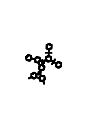 Cc1ccc2c(c1)c1cc(C)ccc1n2-c1ccc2c(c1)c1cc(-c3ccccc3)ccc1n2-c1cc(C(C)(C)c2ccccc2)cc(C(C)(C)c2ccccc2)c1